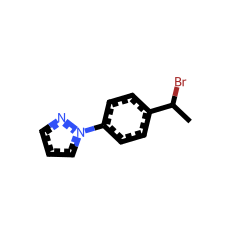 CC(Br)c1ccc(-n2cccn2)cc1